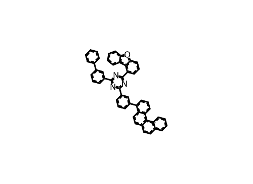 c1ccc(-c2cccc(-c3nc(-c4cccc(-c5cccc6c5ccc5ccc7ccccc7c56)c4)nc(-c4cccc5oc6ccccc6c45)n3)c2)cc1